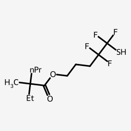 CCCC(C)(CC)C(=O)OCCCC(F)(F)C(F)(F)S